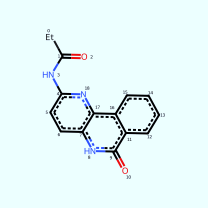 CCC(=O)Nc1ccc2[nH]c(=O)c3ccccc3c2n1